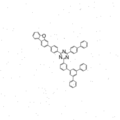 c1ccc(-c2ccc(-c3nc(-c4ccc(-c5ccc6c(c5)oc5ccccc56)cc4)nc(-c4cccc(-c5cc(-c6ccccc6)cc(-c6ccccc6)c5)c4)n3)cc2)cc1